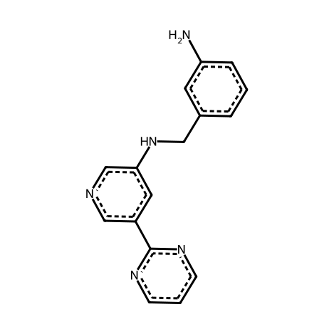 Nc1cccc(CNc2cncc(-c3ncccn3)c2)c1